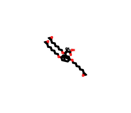 CC(C(=O)O)=C(OCCCCCCC1CO1)C12CC3CC(OCCCCCCC4CO4)(CC(OCCCCCCC4CO4)(C3)C1)C2